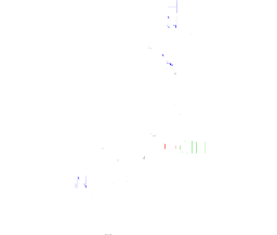 Cl.O=C(CSc1ccnc2ccccc12)c1ccc(N2CCNCC2)cc1